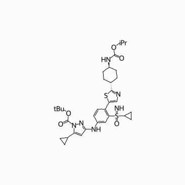 CC(C)OC(=O)N[C@H]1CC[C@H](c2ncc(-c3ccc(Nc4cc(C5CC5)n(C(=O)OC(C)(C)C)n4)cc3S(=N)(=O)C3CC3)s2)CC1